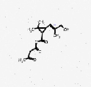 CC(=O)CC(=O)OC(=O)C1C(/C=C(\C)CO)C1(C)C